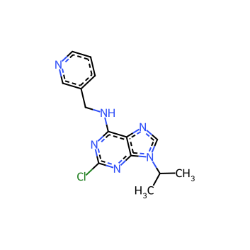 CC(C)n1cnc2c(NCc3cccnc3)nc(Cl)nc21